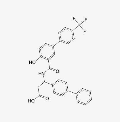 O=C(O)CC(NC(=O)c1cc(-c2ccc(C(F)(F)F)cc2)ccc1O)c1ccc(-c2ccccc2)cc1